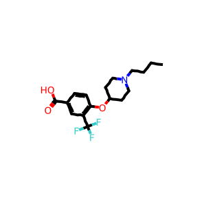 CCCCN1CCC(Oc2ccc(C(=O)O)cc2C(F)(F)F)CC1